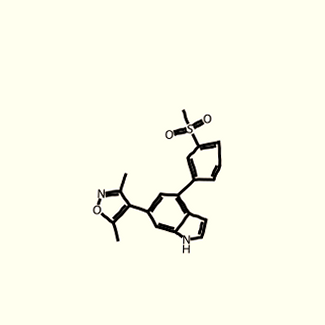 Cc1noc(C)c1-c1cc(-c2cccc(S(C)(=O)=O)c2)c2cc[nH]c2c1